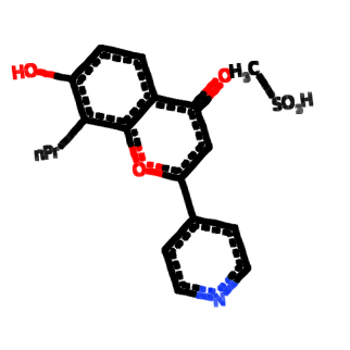 CCCc1c(O)ccc2c(=O)cc(-c3ccncc3)oc12.CS(=O)(=O)O